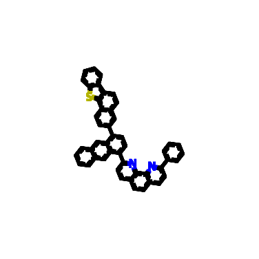 c1ccc(-c2ccc3ccc4ccc(-c5ccc(-c6ccc7c(ccc8c9ccccc9sc78)c6)c6cc7ccccc7cc56)nc4c3n2)cc1